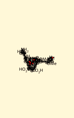 C=C1C[C@H]2C=Nc3cc(OCCCCCOc4cc5c(cc4OC)C(=O)N4CC(=C)C[C@H]4[C@H](O)N5C(=O)OCCSSC[C@H](NC(=O)[C@H](CC(=O)O)NC(=O)[C@H](CC(=O)O)NC(=O)[C@H](CCCNC(=N)N)NC(=O)[C@H](CC(=O)O)NC(=O)CC[C@@H](C)NC(=O)c4ccc(NCc5cnc6nc(N)[nH]c(=O)c6n5)cc4)C(=O)O)c(OC)cc3C(=O)N2C1